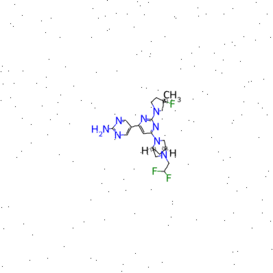 C[C@]1(F)CCN(c2nc(-c3cnc(N)nc3)cc(N3C[C@@H]4C[C@H]3CN4CC(F)F)n2)C1